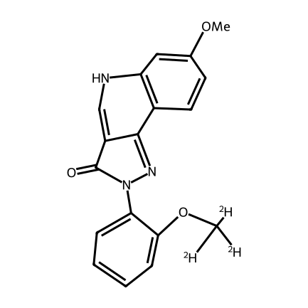 [2H]C([2H])([2H])Oc1ccccc1-n1nc2c3ccc(OC)cc3[nH]cc-2c1=O